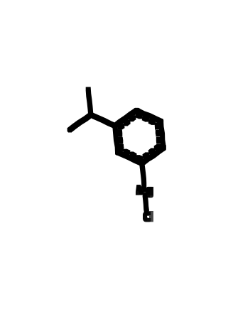 CC(C)c1ccc[c]([Mg][Cl])c1